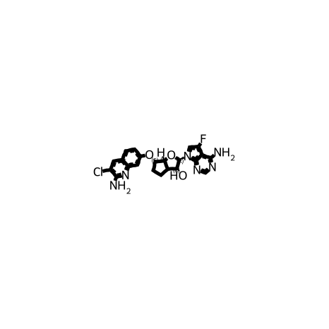 Nc1nc2cc(O[C@H]3CCC4[C@@H](O)[C@H](n5cc(F)c6c(N)ncnc65)O[C@@H]43)ccc2cc1Cl